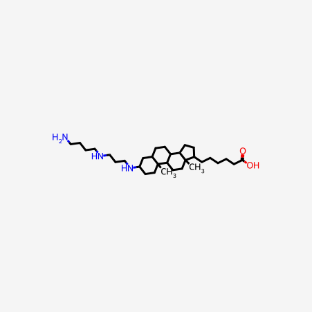 CC12CCC3C(CCC4CC(NCCCNCCCCN)CCC43C)C1CCC2CCCCCC(=O)O